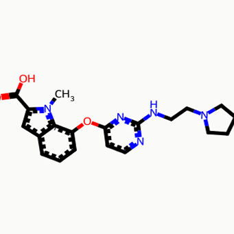 Cn1c(C(=O)O)cc2cccc(Oc3ccnc(NCCN4CCCC4)n3)c21